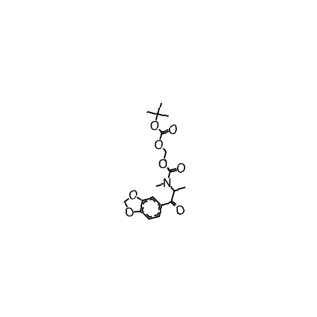 CC(C(=O)c1ccc2c(c1)OCO2)N(C)C(=O)OCOC(=O)OC(C)(C)C